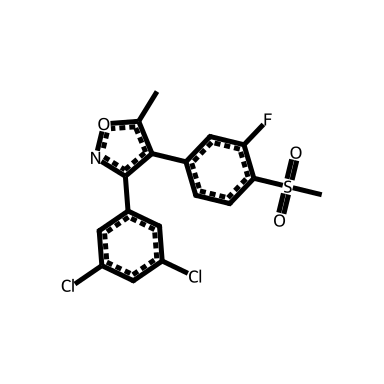 Cc1onc(-c2cc(Cl)cc(Cl)c2)c1-c1ccc(S(C)(=O)=O)c(F)c1